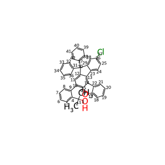 CC(C)(O)c1ccccc1-c1cc2c(c3c1oc1ccccc13)-c1ccc(Cl)cc1C2(c1ccccc1)c1ccccc1